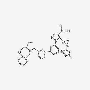 CCC1COc2ccccc2CN1Cc1cccc(-c2cccc(-n3ncc(C(=O)O)c3[C@H]3C[C@@H]3c3cn(C)nn3)c2)c1